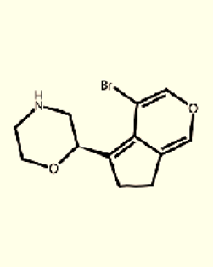 BrC1=COC=C2CCC([C@@H]3CNCCO3)=C12